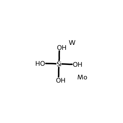 O[Si](O)(O)O.[Mo].[W]